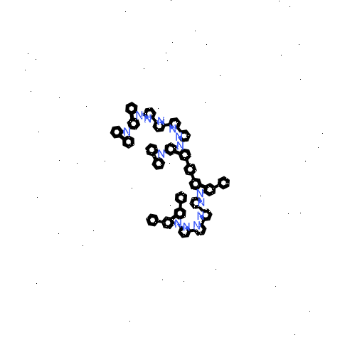 c1ccc(-c2ccc3c(c2)c2cc(-c4ccccc4)ccc2n3-c2cccc(-c3cccc(-c4cccc(-c5cccc(-n6c7ccc(-c8ccccc8)cc7c7cc(-c8ccc(-c9ccc%10c(c9)c9cc(-n%11c%12ccccc%12c%12ccccc%12%11)ccc9n%10-c9cccc(-c%10cccc(-c%11cccc(-c%12cccc(-n%13c%14ccccc%14c%14cc(-n%15c%16ccccc%16c%16ccccc%16%15)ccc%14%13)n%12)n%11)n%10)n9)cc8)ccc76)n5)n4)n3)n2)cc1